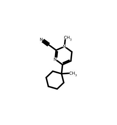 CN1CC=C(C2(C)CCCCC2)N=C1C#N